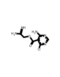 N=C(N)COC(=O)c1c(N)ncnc1Cl